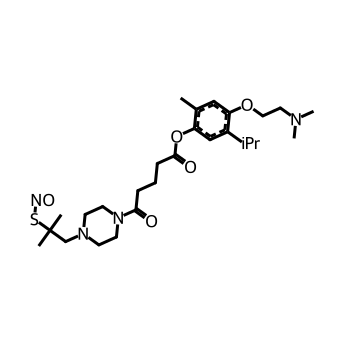 Cc1cc(OCCN(C)C)c(C(C)C)cc1OC(=O)CCCC(=O)N1CCN(CC(C)(C)SN=O)CC1